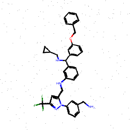 NCc1cccc(-n2nc(C(F)(F)F)cc2CNc2cccc(C(NCC3CC3)c3cccc(OCc4ccccc4)c3)c2)c1